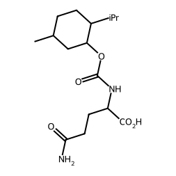 CC1CCC(C(C)C)C(OC(=O)NC(CCC(N)=O)C(=O)O)C1